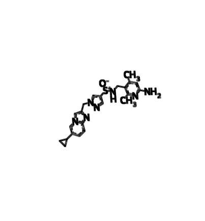 Cc1cc(N)nc(C)c1CN[S+]([O-])c1cnn(Cc2cn3cc(C4CC4)ccc3n2)c1